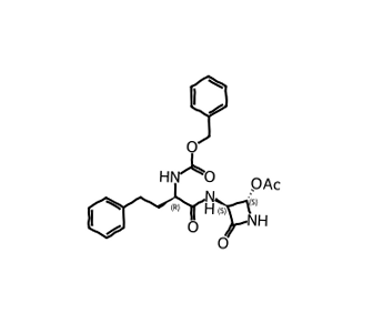 CC(=O)O[C@@H]1NC(=O)[C@H]1NC(=O)[C@@H](CCc1ccccc1)NC(=O)OCc1ccccc1